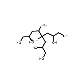 CCCCCCCCCC(CC(O)CO)C(CC(O)CO)(CC(O)CO)C(=O)O